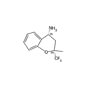 C[C@]1(C(F)(F)F)C[C@@H](N)c2ccccc2O1